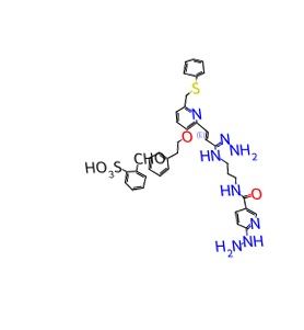 NN=C(/C=C/c1nc(CSc2ccccc2)ccc1OCCc1ccccc1)NCCCNC(=O)c1ccc(NN)nc1.O=Cc1ccccc1S(=O)(=O)O